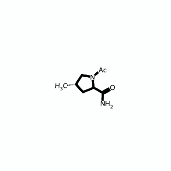 CC(=O)N1C[C@@H](C)CC1C(N)=O